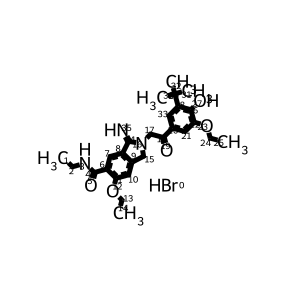 Br.CCNC(=O)c1cc2c(cc1OCC)CN(CC(=O)c1cc(OCC)c(O)c(C(C)(C)C)c1)C2=N